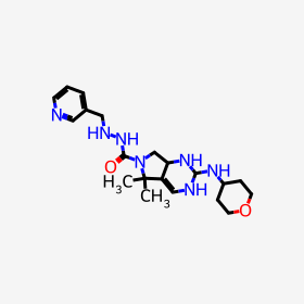 CC1(C)C2=CNC(NC3CCOCC3)NC2CN1C(=O)NNCc1cccnc1